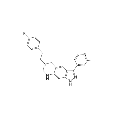 Cc1cc(-c2n[nH]c3cc4c(cc23)CN(CCc2ccc(F)cc2)CN4)ccn1